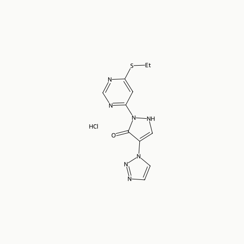 CCSc1cc(-n2[nH]cc(-n3ccnn3)c2=O)ncn1.Cl